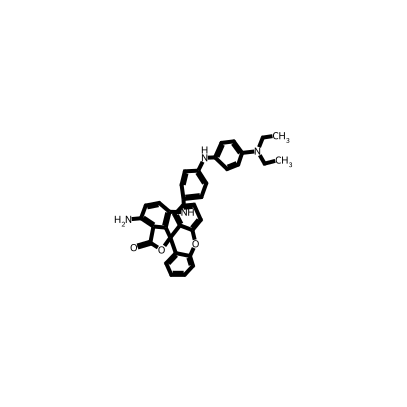 CCN(CC)c1ccc(Nc2ccc(Nc3ccc(N)c4c3C3(OC4=O)c4ccccc4Oc4ccccc43)cc2)cc1